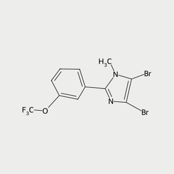 Cn1c(-c2cccc(OC(F)(F)F)c2)nc(Br)c1Br